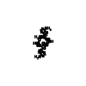 C[C@@]12OCP(=O)(O)OC3C(O)[C@@H](OCP(=O)(O)OC(C1O)[C@H](n1cnc4c(N)ncnc41)O2)O[C@H]3n1cnc2c(N)ncnc21